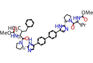 COC(=O)N[C@H](C(=O)N1CCC[C@H]1c1ncc(-c2ccc(-c3ccc(-c4cnc([C@@H]5CCCN5C(=O)[C@@H](NC(=O)OC)C(Cc5ccccc5)C(=O)O)[nH]4)cc3)cc2)[nH]1)C(C)C